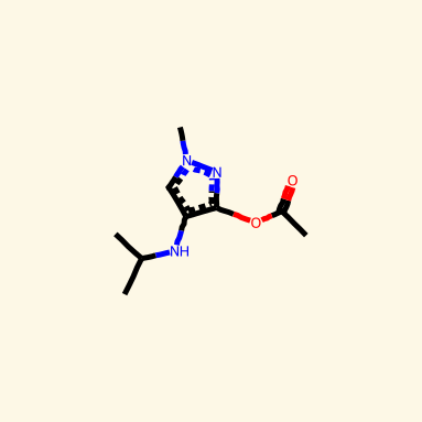 CC(=O)Oc1nn(C)cc1NC(C)C